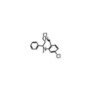 CN(c1cc(Cl)ccc1C#N)C(CCCl)c1ccccc1